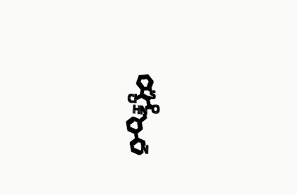 O=C(NCc1cccc(-c2cccnc2)c1)c1sc2ccccc2c1Cl